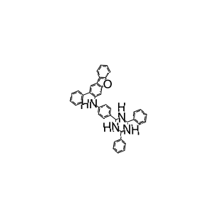 c1ccc(-c2cc3c(cc2Nc2ccc(C4NC(c5ccccc5)NC(c5ccccc5)N4)cc2)oc2ccccc23)cc1